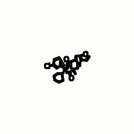 CC1(C(=O)NC2CCCCC2)Cn2c(cc3occc32)C(=O)N1Cc1cccc(Cl)c1